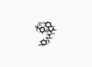 COc1ccc2nc(C)c(NC(=O)NS(=O)(=O)c3ccc(C)cc3)c(Nc3ccc(C(C)(C)C#N)cc3)c2c1